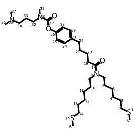 CSCCCCCCN(CCCCCCSC)C(=O)CCCCc1ccc(OC(=O)N(C)CCCN(C)C)cc1